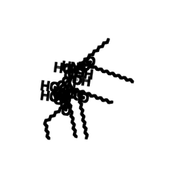 CCCCCCCCCCCCCCCC(=O)O[C@H](CCCCCCCCCCC)CC(=O)NC1[C@@H](O)[C@H](O)C(CO[C@@H]2OC(CO)[C@@H](OP(=O)(O)O)C(OC(=O)C[C@@H](CCCCCCCCCCC)OC(=O)CCCCCCCCCCCCC)[C@@H]2NC(=O)C[C@@H](CCCCCCCCCCC)OC(=O)CCCCCCCCCCCCC)O[C@@H]1O